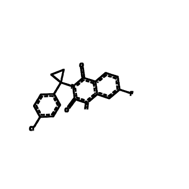 O=c1[nH]c2cc(F)ccc2c(=O)n1C1(c2ccc(Cl)cc2)CC1